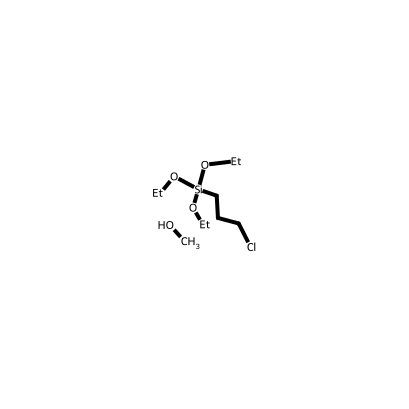 CCO[Si](CCCCl)(OCC)OCC.CO